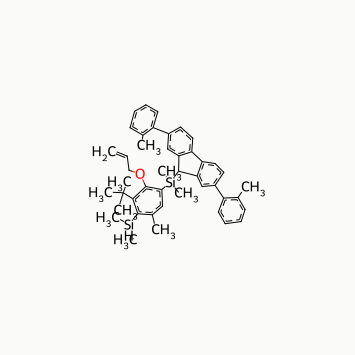 C=CCOc1c([Si](C)(C)C2c3cc(-c4ccccc4C)ccc3-c3ccc(-c4ccccc4C)cc32)cc(C)c([SiH](C)C)c1C(C)(C)C